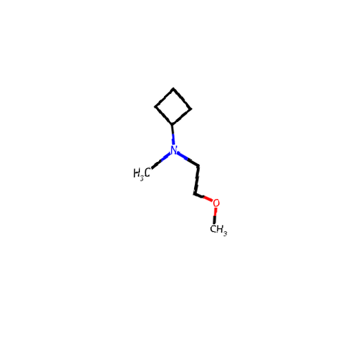 COCCN(C)C1CCC1